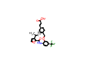 CC(C)c1ccoc1C(=O)Nc1ccc(C(F)(F)F)cc1OCc1ccc(/C=C/C(=O)O)cc1